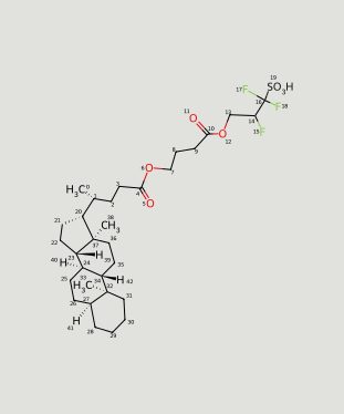 C[C@H](CCC(=O)OCCCC(=O)OCC(F)C(F)(F)S(=O)(=O)O)[C@H]1CC[C@H]2[C@@H]3CC[C@@H]4CCCC[C@]4(C)[C@H]3CC[C@]12C